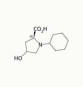 O=C(O)[C@@H]1CC(O)CN1C1CCCCC1